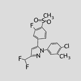 Cc1cc(-n2nc(C(F)F)cc2-c2ccc(S(C)(=O)=O)c(F)c2)ccc1Cl